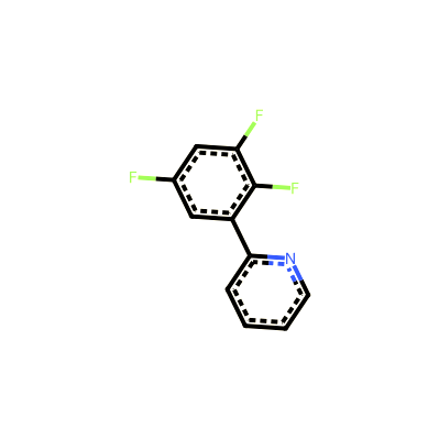 Fc1cc(F)c(F)c(-c2ccccn2)c1